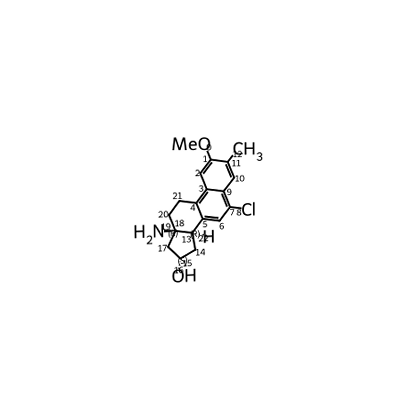 COc1cc2c3c(cc(Cl)c2cc1C)[C@H]1C[C@H](O)C[C@]1(N)CC3